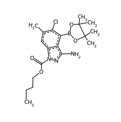 CCCCOC(=O)n1nc(N)c2c(B3OC(C)(C)C(C)(C)O3)c(Cl)c(C)cc21